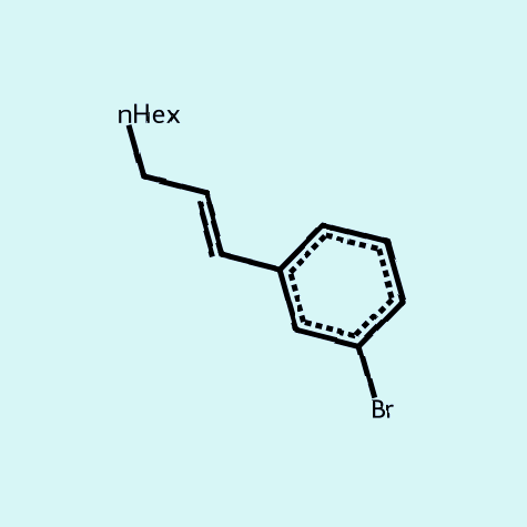 CCCCCCCC=Cc1cccc(Br)c1